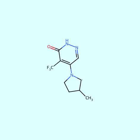 CC1[CH]N(c2cn[nH]c(=O)c2C(F)(F)F)CC1